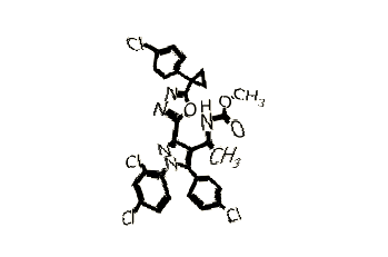 COC(=O)NC(C)c1c(-c2nnc(C3(c4ccc(Cl)cc4)CC3)o2)nn(-c2ccc(Cl)cc2Cl)c1-c1ccc(Cl)cc1